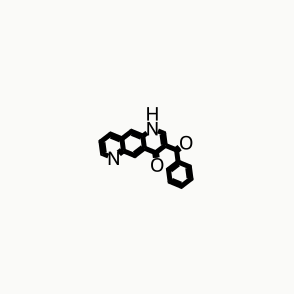 O=C(c1ccccc1)c1c[nH]c2cc3cccnc3cc2c1=O